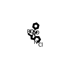 O=S(=O)(c1ccccc1)n1c(CBr)cc2nc(Cl)ccc21